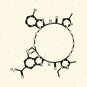 CCn1nc(C)c2c1C(=O)Nc1nc3cc(C(N)=O)cc4c3n1[C@@H](CCCn1c(nc3c(Br)cccc31)NC(=O)c1cc(C)nn1CCCCC2)CO4